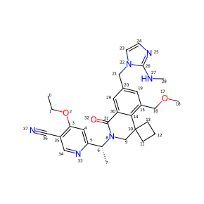 CCOc1cc([C@@H](C)N2CC3(CCC3)c3c(COC)cc(Cn4ccnc4NC)cc3C2=O)ncc1C#N